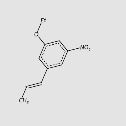 C[C]=Cc1cc(OCC)cc([N+](=O)[O-])c1